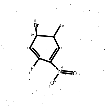 CC1C=C([N+](=O)[O-])C(F)=C[C]1Br